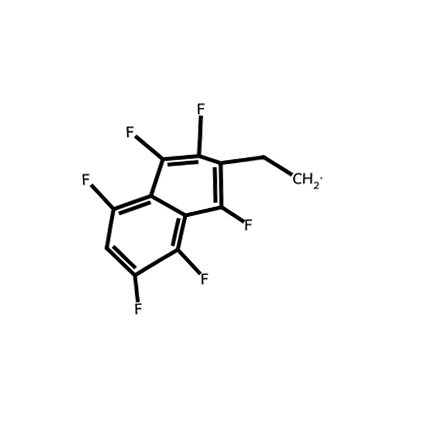 [CH2]Cc1c(F)c(F)c2c(F)cc(F)c(F)c2c1F